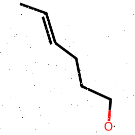 CC=CCCC[O]